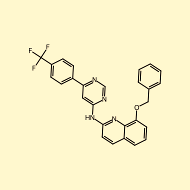 FC(F)(F)c1ccc(-c2cc(Nc3ccc4cccc(OCc5ccccc5)c4n3)ncn2)cc1